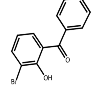 O=C(c1ccccc1)c1cccc(Br)c1O